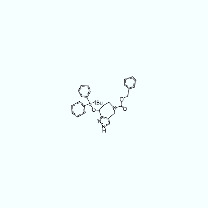 CC(C)(C)[Si](OC1CCN(C(=O)OCc2ccccc2)Cc2c[nH]nc21)(c1ccccc1)c1ccccc1